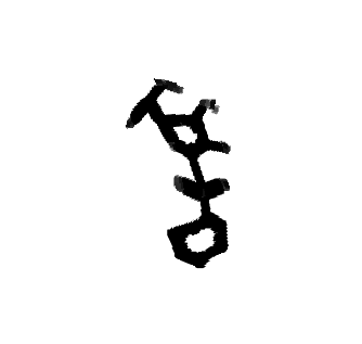 CNC(=O)c1sc(S(=O)(=O)c2ccccc2)c(Br)c1C